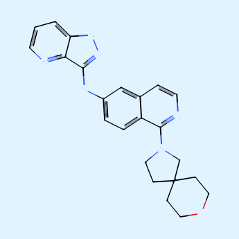 c1cnc2c(Nc3ccc4c(N5CCC6(CCOCC6)C5)nccc4c3)n[nH]c2c1